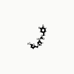 CC(=O)c1ccc(Cn2cc(NC(=O)OCc3ccc(F)c(F)c3)cn2)o1